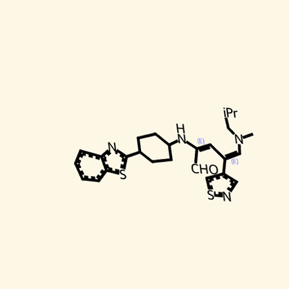 CC(C)CN(C)/C=C(\C=C(/C=O)NC1CCC(c2nc3ccccc3s2)CC1)c1cnsc1